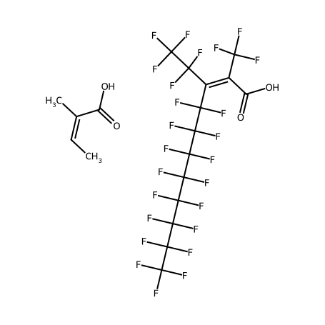 CC=C(C)C(=O)O.O=C(O)C(=C(C(F)(F)C(F)(F)F)C(F)(F)C(F)(F)C(F)(F)C(F)(F)C(F)(F)C(F)(F)C(F)(F)C(F)(F)F)C(F)(F)F